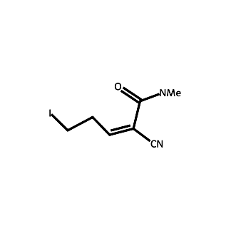 CNC(=O)/C(C#N)=C\CCI